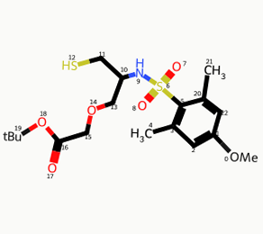 COc1cc(C)c(S(=O)(=O)NC(CS)COCC(=O)OC(C)(C)C)c(C)c1